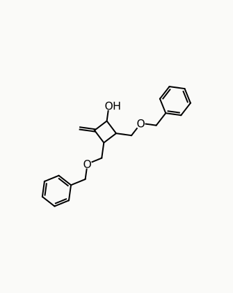 C=C1C(O)C(COCc2ccccc2)C1COCc1ccccc1